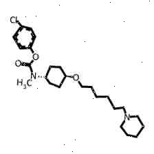 CN(C(=O)Oc1ccc(Cl)cc1)[C@H]1CC[C@H](OCCCCCCN2CCCCC2)CC1